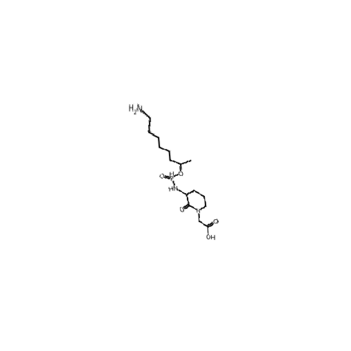 CC(CCCCCCN)O[PH](=O)NC1CCCN(CC(=O)O)C1=O